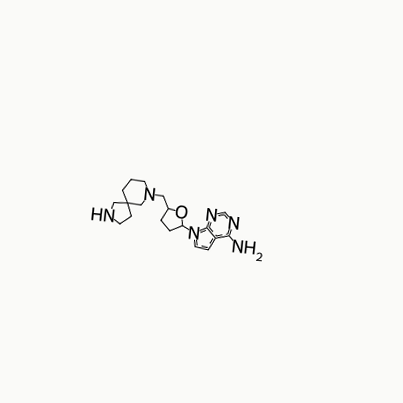 Nc1ncnc2c1ccn2C1CCC(CN2CCCC3(CCNC3)C2)O1